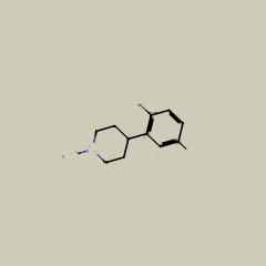 CCCN1CCC(c2cc(C(F)(F)F)ccc2Cl)CC1